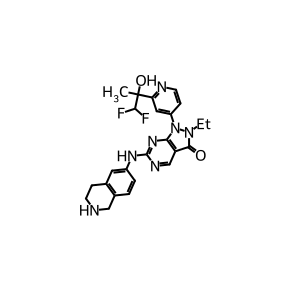 CCn1c(=O)c2cnc(Nc3ccc4c(c3)CCNC4)nc2n1-c1ccnc(C(C)(O)C(F)F)c1